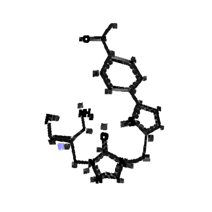 CC(=O)c1ccc(-c2ccc(Cn3cnn(C/C(=C/F)CN)c3=O)s2)cc1